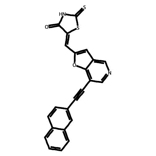 O=C1NC(=S)S/C1=C\c1cc2cncc(C#Cc3ccc4ccccc4c3)c2o1